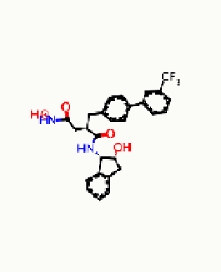 O=C(C[C@@H](Cc1ccc(-c2cccc(C(F)(F)F)c2)cc1)C(=O)N[C@H]1c2ccccc2C[C@H]1O)NO